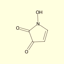 O=C1C=CN(O)C1=O